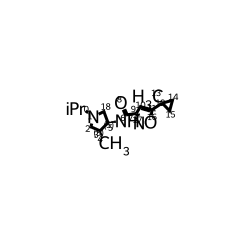 CC(C)N1C[C@H](C)[C@H](NC(=O)c2cc(C3(C)CC3)on2)C1